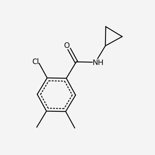 Cc1cc(Cl)c(C(=O)NC2CC2)cc1C